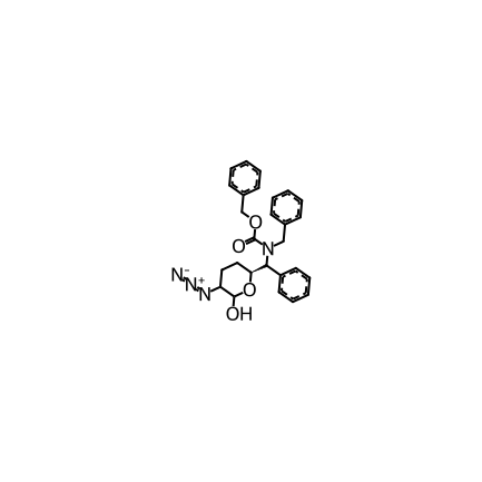 [N-]=[N+]=NC1CC[C@@H](C(c2ccccc2)N(Cc2ccccc2)C(=O)OCc2ccccc2)OC1O